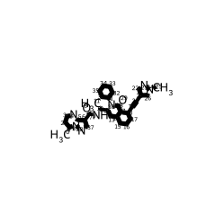 Cc1ccnc2c(C(=O)NC(C)c3cc4cccc(C#Cc5cnn(C)c5)c4c(=O)n3-c3ccccc3)cnn12